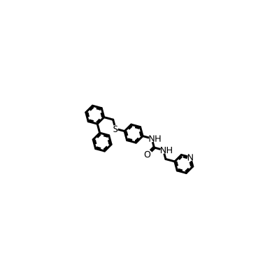 O=C(NCc1cccnc1)Nc1ccc(SCc2ccccc2-c2ccccc2)cc1